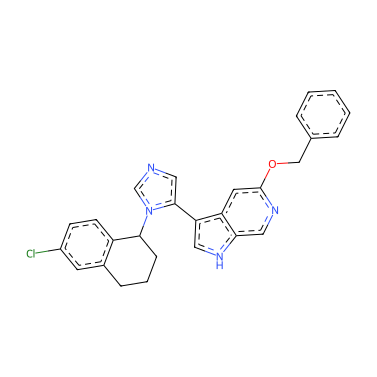 Clc1ccc2c(c1)CCCC2n1cncc1-c1c[nH]c2cnc(OCc3ccccc3)cc12